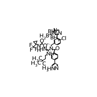 BC(B)(B)n1ncnc1-c1cc([C@@H](COC(=O)NC2(C(F)(F)F)CC2)N(C(=N)NCCC(C)(C)C)C(=O)c2ccc(-c3cn[nH]c3)cc2)ccc1Cl